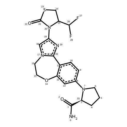 NC(=O)[C@@H]1CCCN1c1ccc2c(c1)OCCn1cc(N3C(=O)SCC3C(F)F)nc1-2